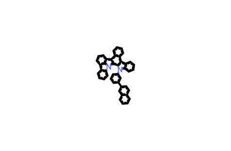 c1cc(-c2ccc3ccccc3c2)cc(-n2c3ccccc3c3c4ccccc4c4c5cccc6c7ccccc7n(c65)c4c32)c1